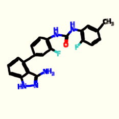 Cc1ccc(F)c(NC(=O)Nc2ccc(-c3cccc4[nH]nc(N)c34)cc2F)c1